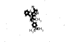 Cc1c(-c2cc(Sc3ccccc3C#N)c3c(C#N)cnn3c2)cnn1C1CCC(N(C)C)CC1